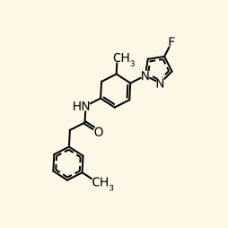 Cc1cccc(CC(=O)NC2=CC=C(n3cc(F)cn3)C(C)C2)c1